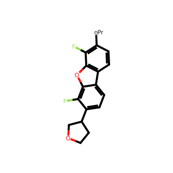 CCCc1ccc2c(oc3c(F)c(C4CCOC4)ccc32)c1F